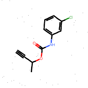 C#CC(C)OC(=O)Nc1cccc(Cl)c1